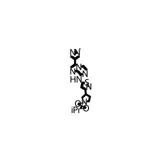 CC(C)S(=O)(=O)N1CCC(c2cc(Nc3nccn4c(-c5cnn(C)c5)cnc34)sn2)C1